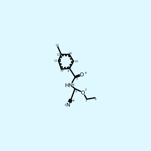 CCOC(C#N)NC(=O)c1ccc(C)cc1